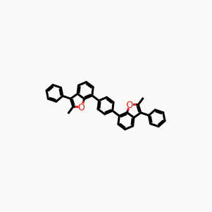 Cc1oc2c(-c3ccc(-c4cccc5c(-c6ccccc6)c(C)oc45)cc3)cccc2c1-c1ccccc1